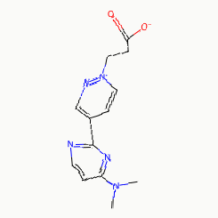 CN(C)c1ccnc(-c2cc[n+](CCC(=O)[O-])nc2)n1